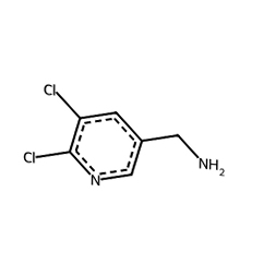 NCc1cnc(Cl)c(Cl)c1